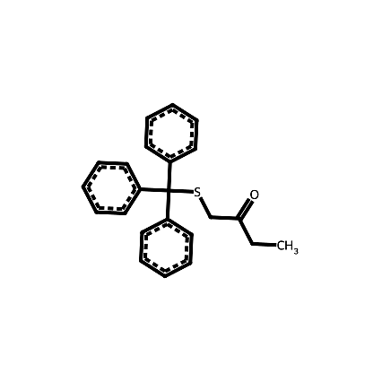 CCC(=O)CSC(c1ccccc1)(c1ccccc1)c1ccccc1